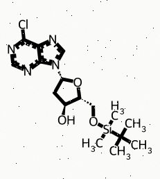 CC(C)(C)[Si](C)(C)OC[C@H]1O[C@@H](n2cnc3c(Cl)ncnc32)C[C@@H]1O